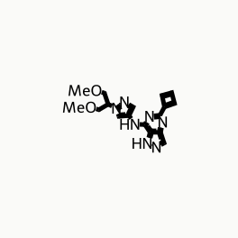 COCC(COC)n1cc(Nc2nc(C3=CC=C3)nc3cn[nH]c23)cn1